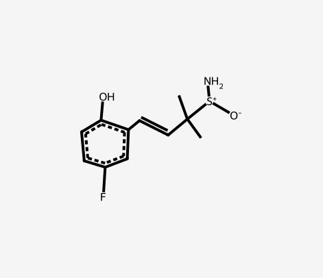 CC(C)(C=Cc1cc(F)ccc1O)[S+](N)[O-]